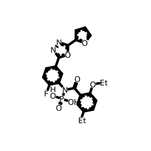 CCOc1ccc(CC)cc1C(=O)N(c1cc(-c2nnc(-c3ccco3)o2)ccc1F)P(=O)(O)O